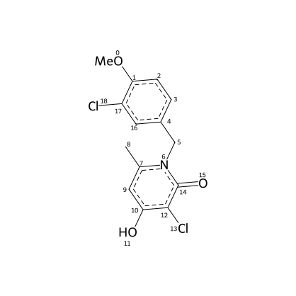 COc1ccc(Cn2c(C)cc(O)c(Cl)c2=O)cc1Cl